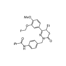 CCC1SC(=O)N(Cc2ccc(NC(=O)C(C)C)cc2)N=C1c1ccc(OC)c(OCF)c1